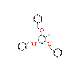 [CH2]c1c(OCc2ccccc2)cc(OCc2ccccc2)cc1OCc1ccccc1